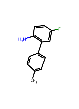 Nc1ccc(F)cc1-c1ccc(C(F)(F)F)cc1